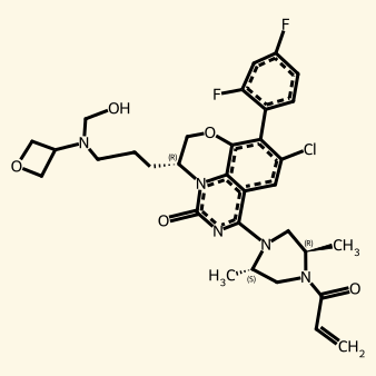 C=CC(=O)N1C[C@H](C)N(c2nc(=O)n3c4c(c(-c5ccc(F)cc5F)c(Cl)cc24)OC[C@H]3CCCN(CO)C2COC2)C[C@H]1C